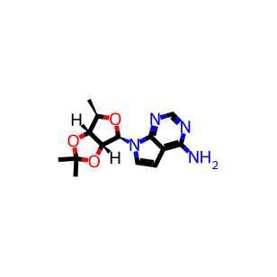 C[C@H]1O[C@@H](n2ccc3c(N)ncnc32)[C@@H]2OC(C)(C)O[C@@H]21